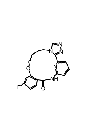 O=C1Nc2cccc(n2)-c2nncn2CCCCOc2cc(F)ccc21